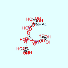 CC(=O)NC1[C@H](OCCOP(=O)(O)OCOCC(C)(COCO[PH](=O)OCCO[C@@H]2OC(CO)[C@H](O)[C@H](O)C2C)COP(=O)(O)OCCO[C@@H]2OC(CO)[C@H](O)[C@H](O)C2C)OC(CO)[C@H](O)[C@@H]1O